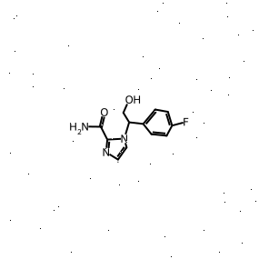 NC(=O)c1n[c]cn1C(CO)c1ccc(F)cc1